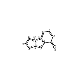 O=C1C=CC=c2c1cc1cccn21